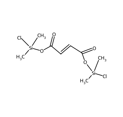 C[Si](C)(Cl)OC(=O)C=CC(=O)O[Si](C)(C)Cl